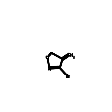 C=C1CON=C1Br